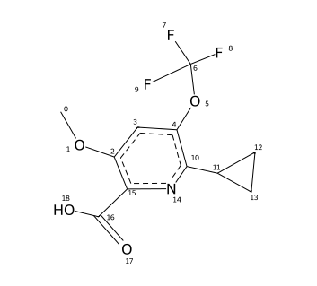 COc1cc(OC(F)(F)F)c(C2CC2)nc1C(=O)O